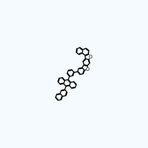 c1cc(-c2ccc3oc4cc5oc6ccc7ccccc7c6c5cc4c3c2)cc(-c2c3ccccc3c(-c3ccc4ccccc4c3)c3ccccc23)c1